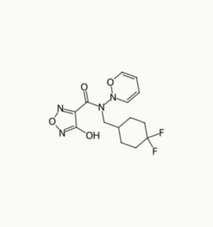 O=C(c1nonc1O)N(CC1CCC(F)(F)CC1)N1C=CC=CO1